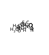 CC1(C)[C@H]2CN(c3c(C(F)(F)F)ccc4cncn34)C[C@H]2CN1S(C)(=O)=O